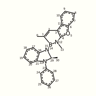 CC1=Cc2c(oc3ccccc23)N(C)B1N1c2ccccc2N(c2ccccc2)[C@@H]1C